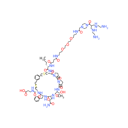 CCCC[C@H](NC(=O)CCC(=O)NCCCOCCOCCOCCCNC(=O)CN1CCN(C(=O)C(CNCCN)CNCCN)CC1)C(=O)N[C@H]1CSCc2cccc(c2)CSC[C@@H](C(=O)NCCC(=O)O)NC(=O)[C@H](Cc2ccccc2)NC(=O)[C@H](CCC(N)=O)NC(=O)[C@H]([C@@H](C)O)NC(=O)[C@@H]2CCCN2C(=O)[C@@H]2CCCN2C1=O